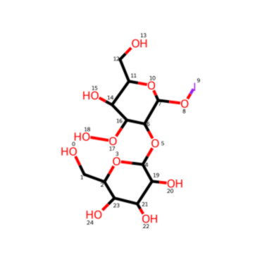 OCC1OC(OC2C(OI)OC(CO)C(O)C2OO)C(O)C(O)C1O